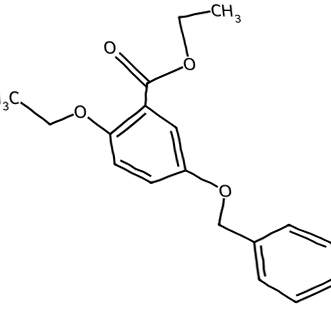 CCOC(=O)c1cc(OCc2ccccc2)ccc1OCC